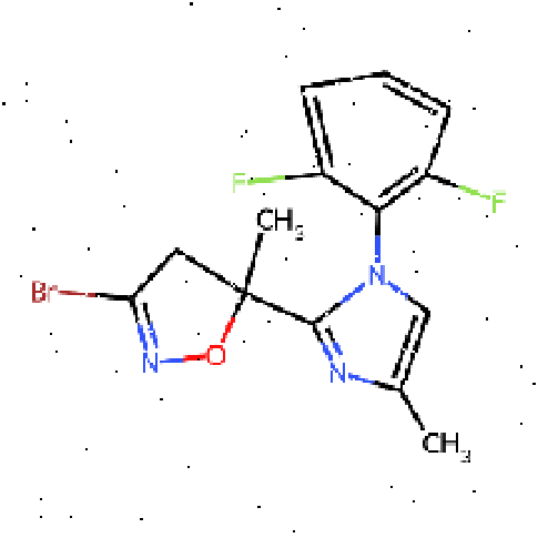 Cc1cn(-c2c(F)cccc2F)c(C2(C)CC(Br)=NO2)n1